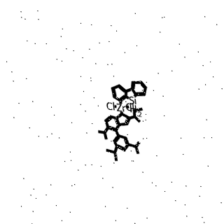 CCC(C)C1=Cc2c(ccc(C(C)C)c2-c2cc(C(C)C)cc(C(C)C)c2)[CH]1[Zr]([Cl])([Cl])[c]1cccc2c1[SiH2]c1ccccc1-2